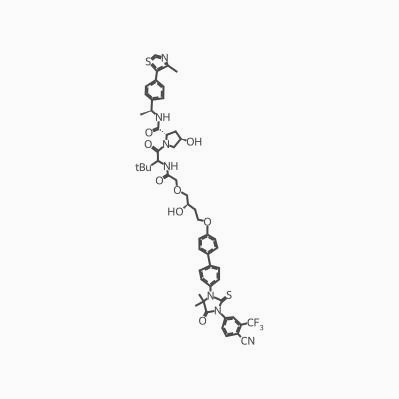 Cc1ncsc1-c1ccc([C@H](C)NC(=O)[C@@H]2C[C@@H](O)CN2C(=O)C(NC(=O)COC[C@H](O)CCOc2ccc(-c3ccc(N4C(=S)N(c5ccc(C#N)c(C(F)(F)F)c5)C(=O)C4(C)C)cc3)cc2)C(C)(C)C)cc1